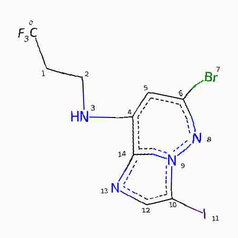 FC(F)(F)CCNc1cc(Br)nn2c(I)cnc12